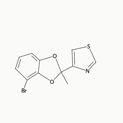 CC1(c2cscn2)Oc2cccc(Br)c2O1